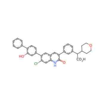 O=C(O)C(c1cccc(-c2cc3cc(-c4ccc(-c5ccccc5)c(O)c4)c(Cl)cc3[nH]c2=O)c1)C1CCOCC1